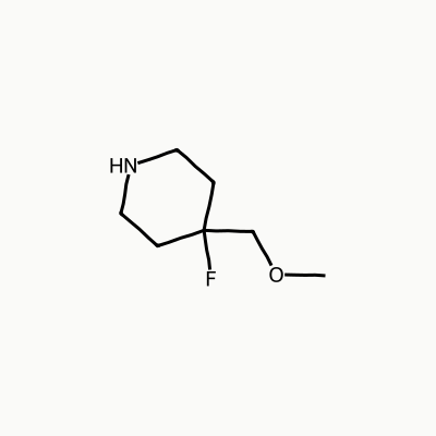 COCC1(F)CCNCC1